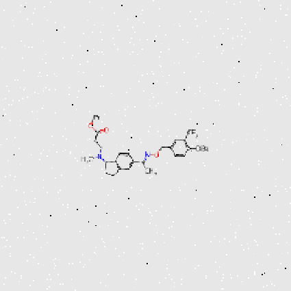 C/C(=N\OCc1ccc(OCC(C)C)c(C(F)(F)F)c1)c1ccc2c(c1)CCC2N(C)CCC(=O)OC(C)C